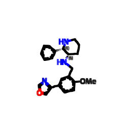 COc1ccc(-c2cocn2)cc1CN[C@H]1CCCN[C@H]1c1ccccc1